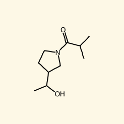 CC(C)C(=O)N1CCC(C(C)O)C1